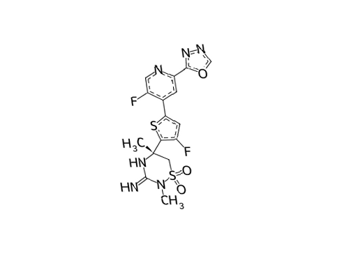 CN1C(=N)N[C@](C)(c2sc(-c3cc(-c4nnco4)ncc3F)cc2F)CS1(=O)=O